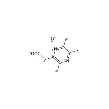 Cc1nc(C)c(CC(=O)[O-])nc1C.[Li+]